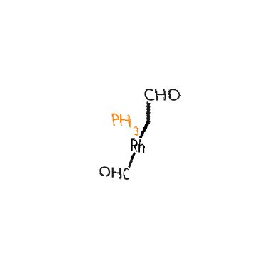 O=[CH][Rh][CH]=O.P